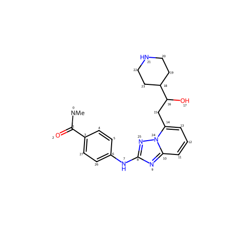 CNC(=O)c1ccc(Nc2nc3cccc(CC(O)C4CCNCC4)n3n2)cc1